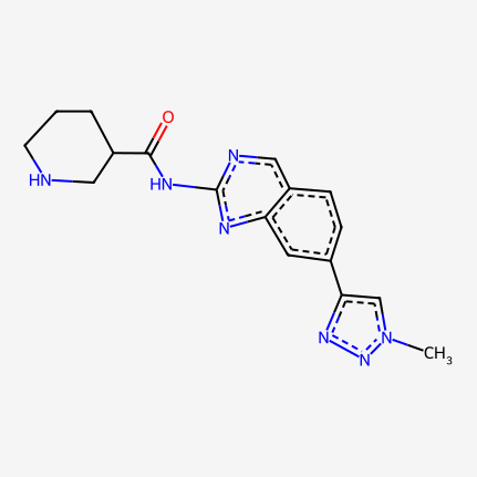 Cn1cc(-c2ccc3cnc(NC(=O)C4CCCNC4)nc3c2)nn1